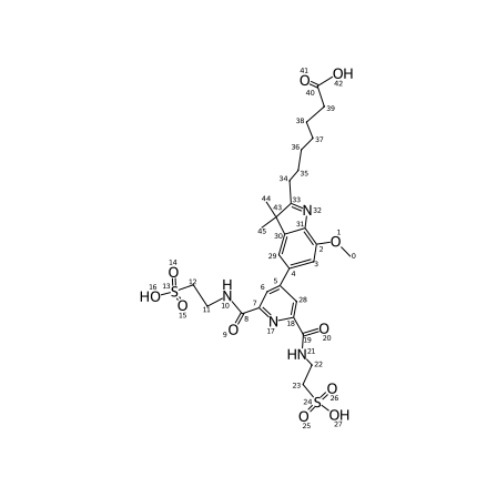 COc1cc(-c2cc(C(=O)NCCS(=O)(=O)O)nc(C(=O)NCCS(=O)(=O)O)c2)cc2c1N=C(CCCCCCC(=O)O)C2(C)C